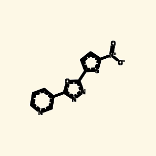 O=[N+]([O-])c1ccc(-c2nnc(-c3cccnc3)o2)s1